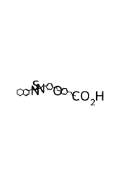 CN(Cc1ccc(COc2ccc(CCC(=O)O)cc2)cc1)c1nc(-c2ccc3c(c2)CCCC3)cs1